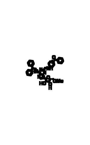 COC[C@H]1O[C@@H](n2cnc3c(NCC(c4ccccc4)c4ccccc4)nc(CNC4CCN(C(=O)c5ccccc5)CC4)nc32)[C@@H](O)[C@@H]1O